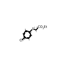 CCOC(=O)CSc1ccc(Cl)cc1